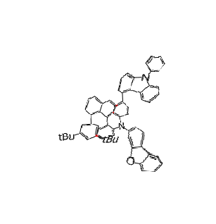 CC(C)(C)c1cc(-c2cccc3cccc(-c4ccccc4N(c4ccc(-c5cccc6c5c5ccccc5n6-c5ccccc5)cc4)c4ccc5c(c4)oc4ccccc45)c23)cc(C(C)(C)C)c1